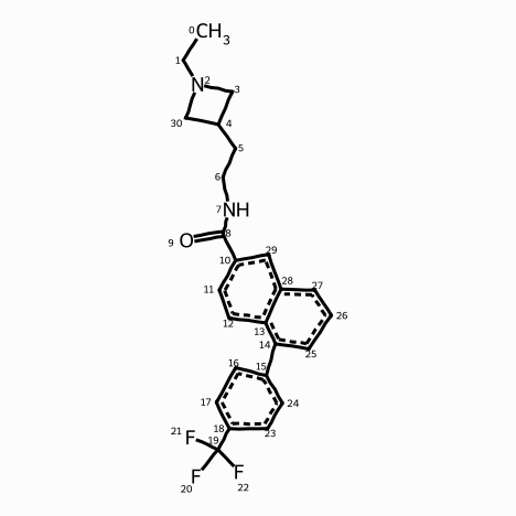 CCN1CC(CCNC(=O)c2ccc3c(-c4ccc(C(F)(F)F)cc4)cccc3c2)C1